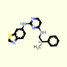 C[C@H](CNc1ccnc(Nc2ccc3ncsc3c2)n1)c1ccccc1